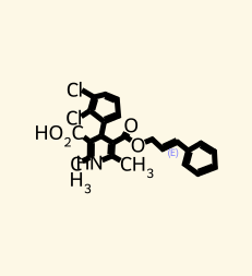 CC1=C(C(=O)O)C(c2cccc(Cl)c2Cl)C(C(=O)OC/C=C/c2ccccc2)=C(C)N1